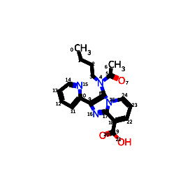 CCCCN(C(C)=O)c1c(-c2ccccn2)nc2c(C(=O)O)cccn12